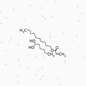 C=CC(=O)OCCCCCCCCCC.CCCCCC(O)O